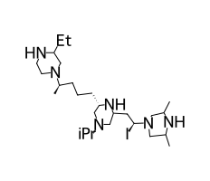 CCC1CN([C@H](C)CCC[C@H]2CN(C(C)C)CC(C[C@H](I)N3CC(C)NC(C)C3)N2)CCN1